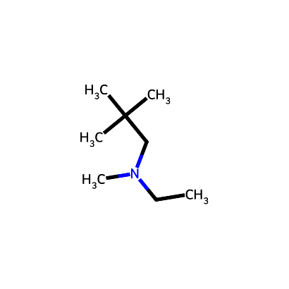 CCN(C)CC(C)(C)C